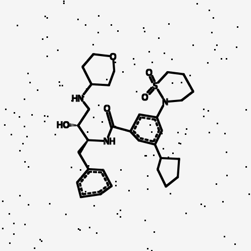 O=C(N[C@@H](Cc1ccccc1)[C@H](O)CNC1CCOCC1)c1cc(C2CCCC2)cc(N2CCCCS2(=O)=O)c1